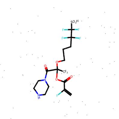 C=C(F)C(=O)OC(OCCCC(F)(F)C(F)(F)S(=O)(=O)O)(C(=O)N1CCNCC1)C(F)(F)F